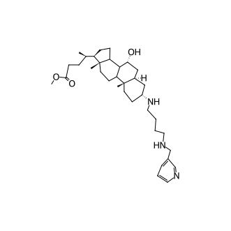 COC(=O)CC[C@@H](C)[C@H]1CCC2C3C(CC[C@@]21C)[C@@]1(C)CC[C@@H](NCCCCNCc2cccnc2)C[C@@H]1C[C@H]3O